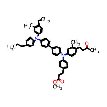 CCCc1ccc(N(c2ccc(-c3ccc(N(c4ccc(CCC(=O)OC)cc4)c4ccc(CCC(C)=O)c(C)c4)cc3)cc2)c2ccc(CC)c(C)c2)cc1